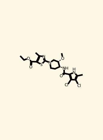 CCOC(=O)c1sc(N2CC[C@@H](NC(=O)c3[nH]c(C)c(Cl)c3Cl)[C@@H](OC)C2)nc1C